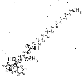 CCCCCCCCCCCCCCCCCCNC(=O)OCC(COP(O)Oc1ccccc1C[n+]1ccsc1)OC